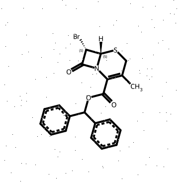 CC1=C(C(=O)OC(c2ccccc2)c2ccccc2)N2C(=O)[C@H](Br)[C@@H]2SC1